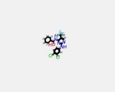 OC(Nc1nc(Nc2ccc(Cl)c(Cl)c2)ncc1C(F)(F)F)C1CCCCC1